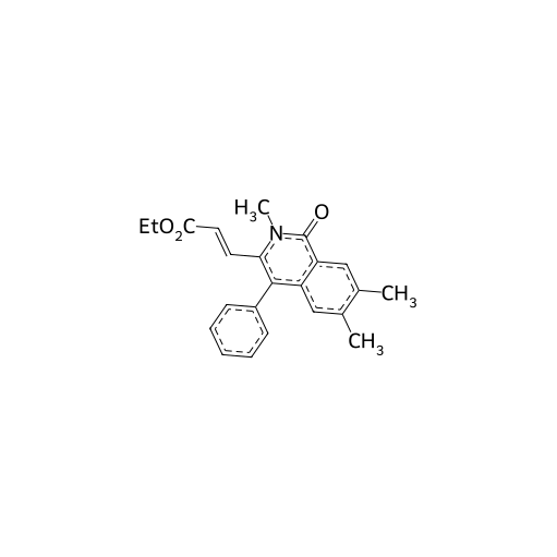 CCOC(=O)C=Cc1c(-c2ccccc2)c2cc(C)c(C)cc2c(=O)n1C